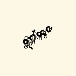 CCCS(=O)(=O)c1ccccc1Nc1nc(Nc2cc3c(cc2OC(C)C)CN(C2CCN(C)CC2)C3=O)ncc1Cl